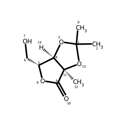 CC1(C)O[C@@H]2[C@@H](CO)OC(=O)[C@]2(C)O1